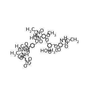 C=C1C[C@H]2C=Nc3cc(OCc4cc(COc5cc6c(cc5OC)C(=O)N5CC(=C)C[C@H]5[C@H](O)N6C(=O)OCc5ccc(NC(=O)[C@H](C)NC(=O)C(NC(=O)CCN6C(=O)C=CC6=O)C(C)C)cc5)cc(C(=O)O)c4)c(OC)cc3C(=O)N2C1